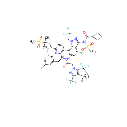 CC(C)(CCc1ccc(-c2ccc(Cl)c3c(N(C(=O)C4CCC4)S(C)(=O)=O)nn(CC(F)(F)F)c23)c([C@H](Cc2cc(F)cc(F)c2)NC(=O)Cn2nc(C(F)(F)F)c3c2C(F)(F)C2C[C@H]32)n1)S(C)(=O)=O